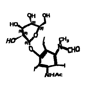 CC(=O)Nc1c(I)c(O[C@H]2O[C@H](CO)[C@@H](O)[C@H](O)[C@H]2O)c(I)c(N(C)C=O)c1I